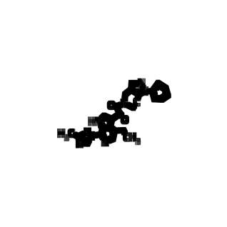 CCc1cnc(-n2cnc(C)n2)c2[nH]cc(C(=O)C(=O)N3CCc4c(cnn4-c4ccccc4)C3)c12